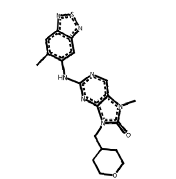 Cc1cc2nsnc2cc1Nc1ncc2c(n1)n(CC1CCOCC1)c(=O)n2C